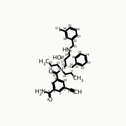 C#Cc1cc(C(N)=O)cc(C(=O)[N+](CCC)(CCC)[C@@H](Cc2ccccc2)[C@H](O)CNCc2cccc(I)c2)c1